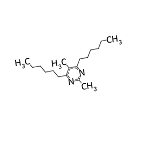 CCCCCCc1nc(C)nc(CCCCCC)c1C